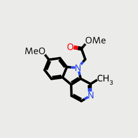 COC(=O)Cn1c2cc(OC)ccc2c2ccnc(C)c21